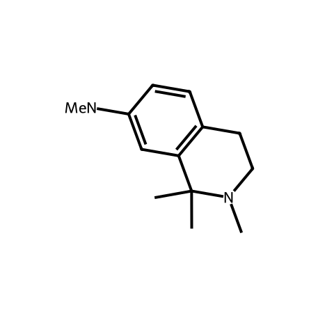 CNc1ccc2c(c1)C(C)(C)N(C)CC2